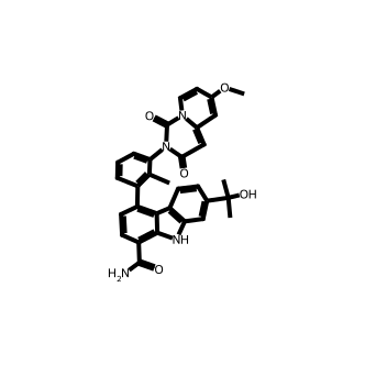 COc1ccn2c(=O)n(-c3cccc(-c4ccc(C(N)=O)c5[nH]c6cc(C(C)(C)O)ccc6c45)c3C)c(=O)cc2c1